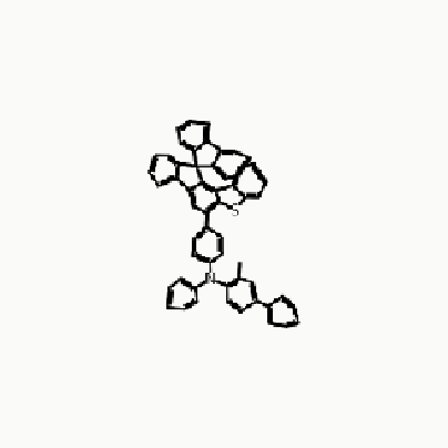 Cc1cc(-c2ccccc2)ccc1N(c1ccccc1)c1ccc(-c2cc3c(c4c2sc2ccccc24)C2(c4ccccc4-c4ccccc42)c2ccccc2-3)cc1